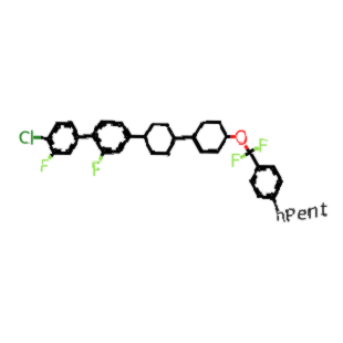 CCCCCc1ccc(C(F)(F)OC2CCC(C3CCC(c4ccc(-c5ccc(Cl)c(F)c5)c(F)c4)CC3)CC2)cc1